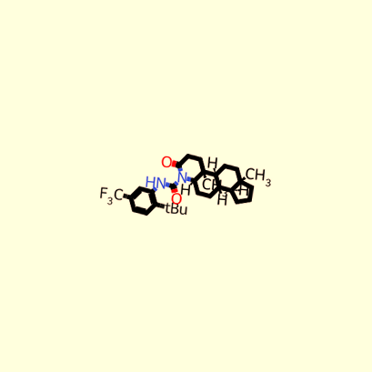 CC(C)(C)c1ccc(C(F)(F)F)cc1NC(=O)N1C(=O)CC[C@]2(C)[C@H]3CC[C@]4(C)CCC[C@H]4[C@@H]3CC[C@@H]12